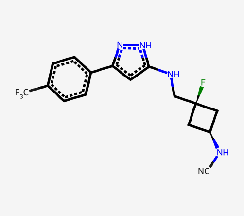 N#CN[C@H]1C[C@](F)(CNc2cc(-c3ccc(C(F)(F)F)cc3)n[nH]2)C1